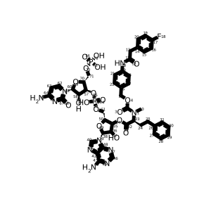 CN(C(=O)OCc1ccc(NC(=O)Cc2ccc(F)cc2)cc1)[C@@H](CCc1ccccc1)C(=O)OC1C(O)[C@H](n2cnc3c(N)ncnc32)O[C@@H]1COP(=O)(O)O[C@H]1[C@@H](O)[C@H](n2ccc(N)nc2=O)O[C@@H]1COP(=O)(O)O